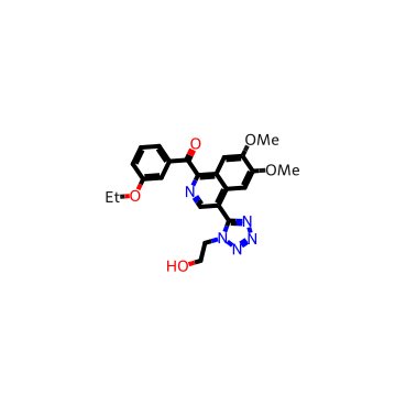 CCOc1cccc(C(=O)c2ncc(-c3nnnn3CCO)c3cc(OC)c(OC)cc23)c1